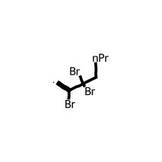 [CH]=C(Br)C(Br)(Br)CCCC